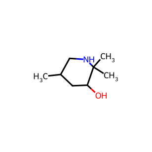 CC1CNC(C)(C)C(O)C1